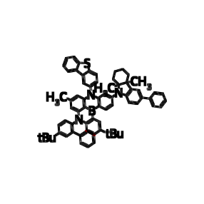 Cc1cc2c3c(c1)N(c1ccc(C(C)(C)C)cc1-c1ccccc1)c1ccc(C(C)(C)C)cc1B3c1ccc(N3c4ccc(-c5ccccc5)cc4C4(C)CCCCC34C)cc1N2c1ccc2sc3ccccc3c2c1